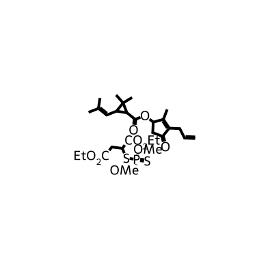 C=CCC1=C(C)C(OC(=O)C2C(C=C(C)C)C2(C)C)CC1=O.CCOC(=O)CC(SP(=S)(OC)OC)C(=O)OCC